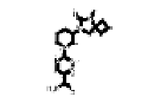 CN1C(=O)N(C2CCCN(c3ncc(C(N)=O)nn3)C2)CC12CCC2